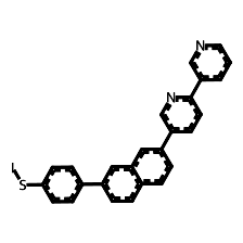 ISc1ccc(-c2ccc3ccc(-c4ccc(-c5cccnc5)nc4)cc3c2)cc1